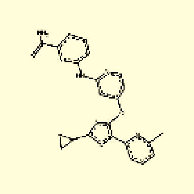 Cc1cccc(-c2nc(C3CC3)sc2Oc2ccnc(Nc3cccc(C(N)=O)n3)c2)n1